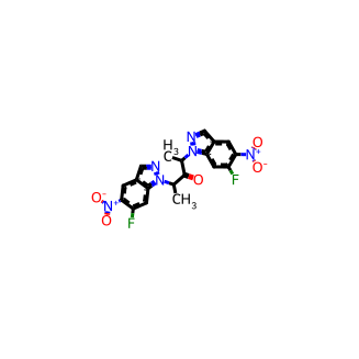 CC(C(=O)C(C)n1ncc2cc([N+](=O)[O-])c(F)cc21)n1ncc2cc([N+](=O)[O-])c(F)cc21